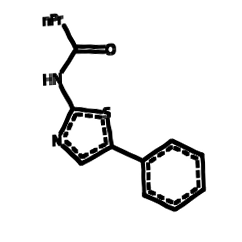 CCCC(=O)Nc1ncc(-c2ccccc2)s1